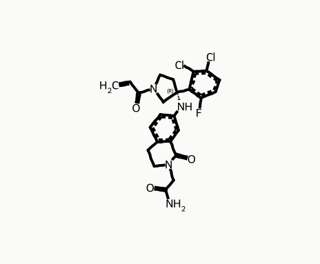 C=CC(=O)N1CC[C@@](Nc2ccc3c(c2)C(=O)N(CC(N)=O)CC3)(c2c(F)ccc(Cl)c2Cl)C1